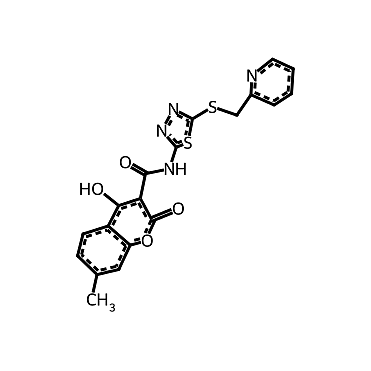 Cc1ccc2c(O)c(C(=O)Nc3nnc(SCc4ccccn4)s3)c(=O)oc2c1